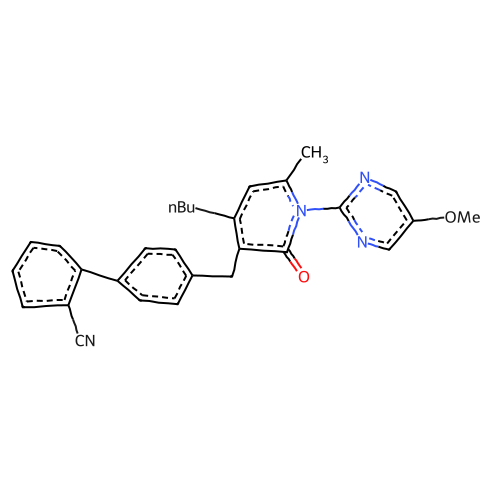 CCCCc1cc(C)n(-c2ncc(OC)cn2)c(=O)c1Cc1ccc(-c2ccccc2C#N)cc1